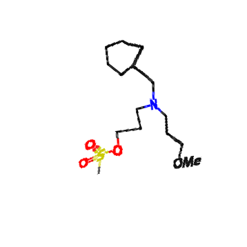 COCCCN(CCCOS(C)(=O)=O)CC1CCCCC1